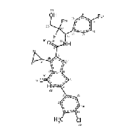 Cc1cc(-c2cn3nc(C(=O)NC(c4ccc(F)cc4)C(F)(F)CO)c(C4CC4)c3c(=O)[nH]2)ccc1Cl